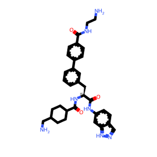 NCCNC(=O)c1ccc(-c2cccc(C[C@H](NC(=O)C3CCC(CN)CC3)C(=O)Nc3ccc4cn[nH]c4c3)c2)cc1